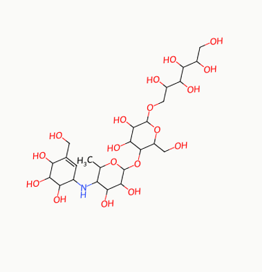 CC1OC(OC2C(CO)OC(OCC(O)C(O)C(O)C(O)CO)C(O)C2O)C(O)C(O)C1NC1C=C(CO)C(O)C(O)C1O